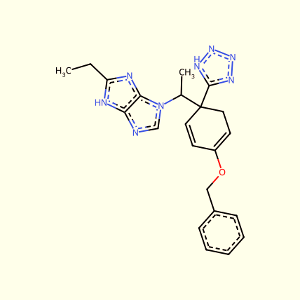 CCc1nc2c(ncn2C(C)C2(c3nnn[nH]3)C=CC(OCc3ccccc3)=CC2)[nH]1